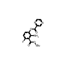 CC(C)(C)OC(=O)c1c(F)ccc(OC(=O)c2cnccn2)c1N